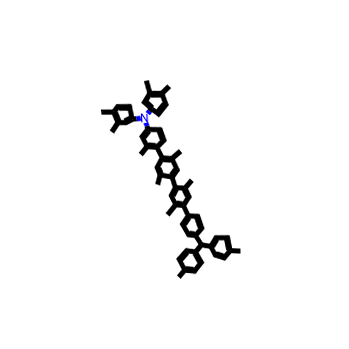 Cc1ccc(C(c2ccc(C)cc2)c2ccc(-c3cc(C)c(-c4cc(C)c(-c5ccc(N(c6ccc(C)c(C)c6)c6ccc(C)c(C)c6)cc5C)cc4C)cc3C)cc2)cc1